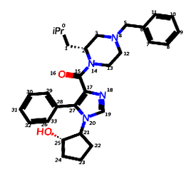 CC(C)C[C@@H]1CN(Cc2ccccc2)CCN1C(=O)c1ncn(C2CCC[C@@H]2O)c1-c1ccccc1